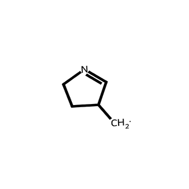 [CH2]C1C=NCC1